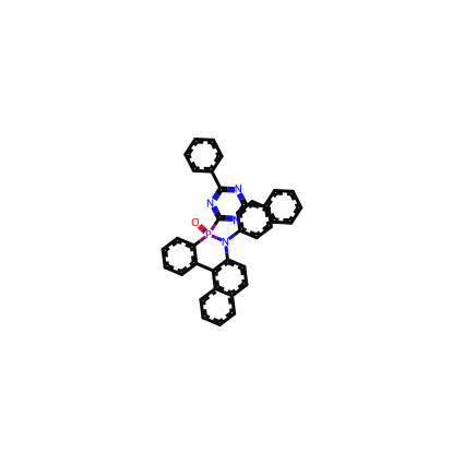 O=P1(c2nc(-c3ccccc3)nc(-c3ccccc3)n2)c2ccccc2-c2c(ccc3ccccc23)N1c1ccccc1